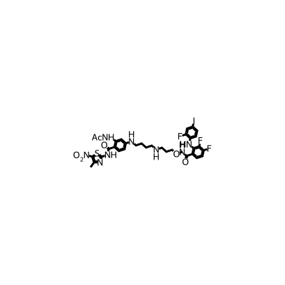 CC(=O)Nc1cc(NCCCCNCCCONC(=O)c2ccc(F)c(F)c2Nc2ccc(I)cc2F)ccc1C(=O)Nc1nc(C)c([N+](=O)[O-])s1